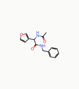 CC(=O)NC(C(=O)NCc1ccccc1)c1ccoc1